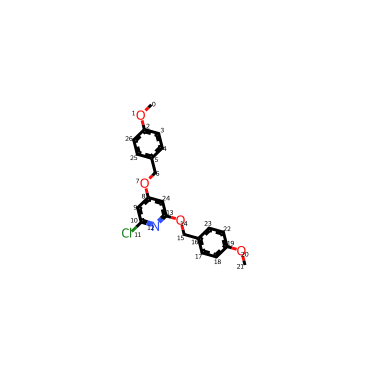 COc1ccc(COc2cc(Cl)nc(OCc3ccc(OC)cc3)c2)cc1